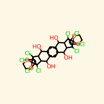 OC1c2cc3c(cc2C(O)C2C1C1(Cl)C(Cl)=C(Cl)C2(Cl)C12OCCO2)C(O)C1C(C3O)C2(Cl)C(Cl)=C(Cl)C1(Cl)C21OCCO1